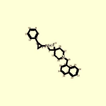 FC1(CNC2CC2c2ccccc2)CCN(Cc2cccc3ccccc23)CC1